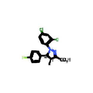 C[C@@H]1C(C(=O)O)=NN(c2ccc(Cl)cc2Cl)[C@@H]1c1ccc(F)cc1